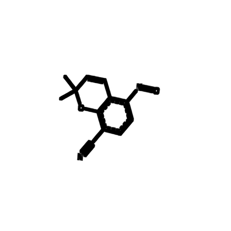 CC1(C)C=Cc2c(N=O)ccc(C#N)c2O1